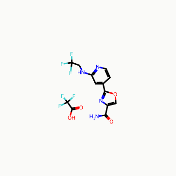 NC(=O)c1coc(-c2ccnc(NCC(F)(F)F)c2)n1.O=C(O)C(F)(F)F